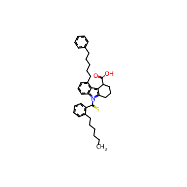 CCCCCCc1ccccc1C(=S)n1c2c(c3c(CCCCCc4ccccc4)cccc31)C(C(=O)O)CCC2